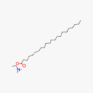 CCCCCCCCCCCCCCCCCCCCCC(=O)OC(C)N(C)C